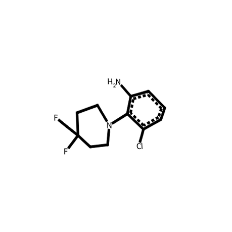 Nc1cccc(Cl)c1N1CCC(F)(F)CC1